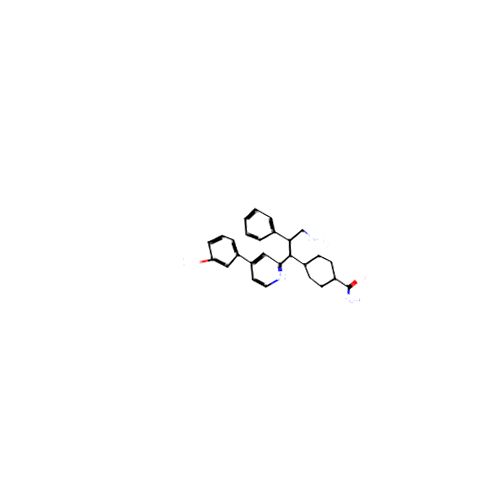 NCC(c1ccccc1)C(c1cc(-c2cccc(O)c2)ccn1)C1CCC(C(N)=O)CC1